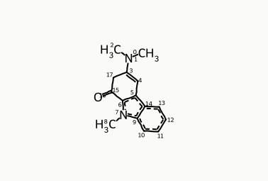 CN(C)C1=Cc2c(n(C)c3ccccc23)C(=O)C1